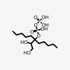 CCCCCC(CCCCC)(OP(=O)(O)OP(=O)(O)O)C(O)CO